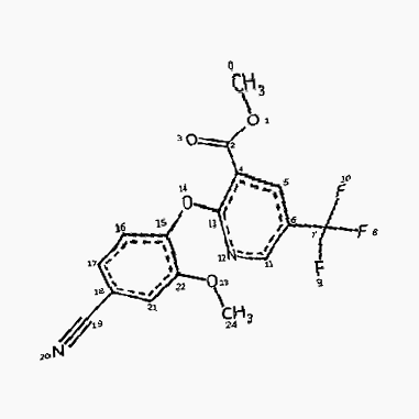 COC(=O)c1cc(C(F)(F)F)cnc1Oc1ccc(C#N)cc1OC